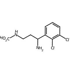 NC(CCNC(=O)O)c1cccc(Cl)c1Cl